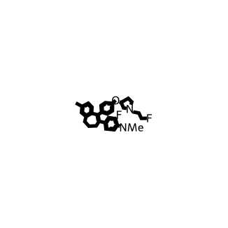 CNc1ccc(C2=C(c3ccc(OC4CCN(CCCF)C4)cc3)c3ccc(C)cc3CCC2)cc1F